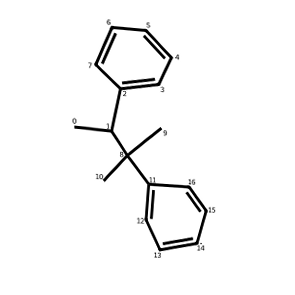 CC(c1ccccc1)C(C)(C)c1cc[c]cc1